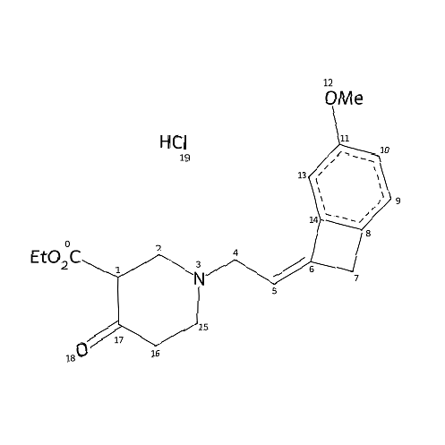 CCOC(=O)C1CN(C/C=C2/Cc3ccc(OC)cc32)CCC1=O.Cl